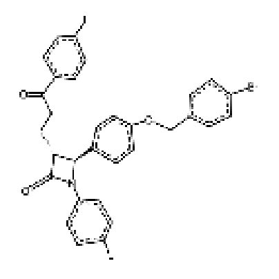 O=C(CC[C@H]1C(=O)N(c2ccc(F)cc2)[C@@H]1c1ccc(OCc2ccc(Br)cc2)cc1)c1ccc(F)cc1